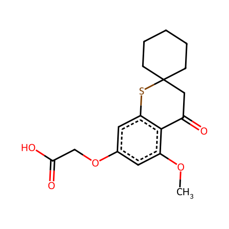 COc1cc(OCC(=O)O)cc2c1C(=O)CC1(CCCCC1)S2